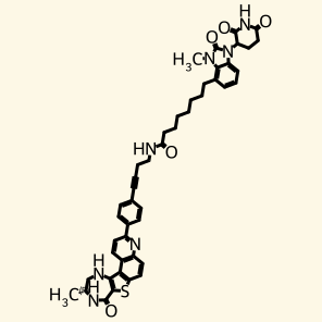 C[C@@H]1CNc2c(sc3ccc4nc(-c5ccc(C#CCCNC(=O)CCCCCCCc6cccc7c6n(C)c(=O)n7C6CCC(=O)NC6=O)cc5)ccc4c23)C(=O)N1